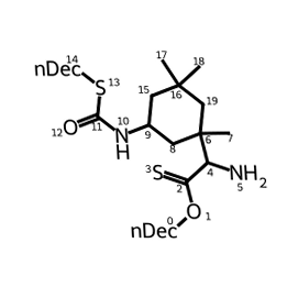 CCCCCCCCCCOC(=S)C(N)C1(C)CC(NC(=O)SCCCCCCCCCC)CC(C)(C)C1